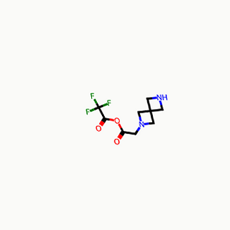 O=C(CN1CC2(CNC2)C1)OC(=O)C(F)(F)F